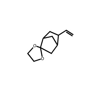 C=CC1CC2CC1CC21OCCO1